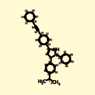 CC(C)c1ccc(C2C=C(c3ccc(C#Cc4ccccc4)cc3)NN2c2ccccc2)cc1